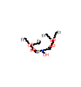 CC/C=C\CCCCOC(CCC(=O)OCC(C)(C)CCCCN(CCO)CCCCC(C)(C)COC(=O)CCC(OCCCC/C=C\CC)OCCCC/C=C\CC)OCCCC/C=C\CC